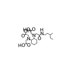 CCC(C)CCNC(=O)CN(CC(=O)O)C1CCCCC1N(CC(=O)O)CC(=O)O